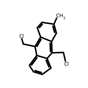 Cc1ccc2c(CCl)c3ccccc3c(CCl)c2c1